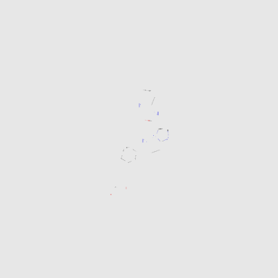 Cc1nc2n(c1C(=O)NC1=CC=C(F)CN1)NC(c1cccc(OC[C@H](O)CO)c1)C=C2